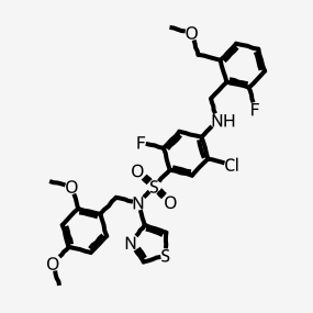 COCc1cccc(F)c1CNc1cc(F)c(S(=O)(=O)N(Cc2ccc(OC)cc2OC)c2cscn2)cc1Cl